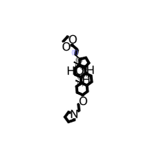 C[C@]12CCC(OCCN3CCCC3)CC1CC[C@@H]1[C@@H]2CC[C@]2(C)[C@@H](/C=C/C3OCCO3)CC[C@@]12O